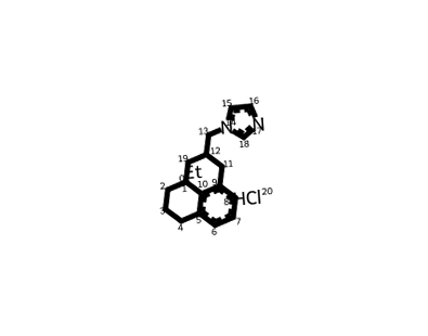 CCC12CCCc3cccc(c31)CC(Cn1ccnc1)C2.Cl